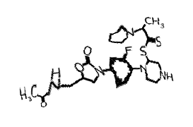 CC(=O)NCC1CN(c2ccc(N3CCNCC3SC(=S)C(C)N3CCCC3)c(F)c2)C(=O)O1